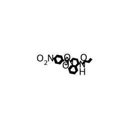 C=CC(=O)NC1CCN(S(=O)(=O)c2ccc([N+](=O)[O-])cc2)c2ccccc21